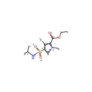 CCOC(=O)c1c(F)c(S(=O)(=O)NC(C)C)cn1C